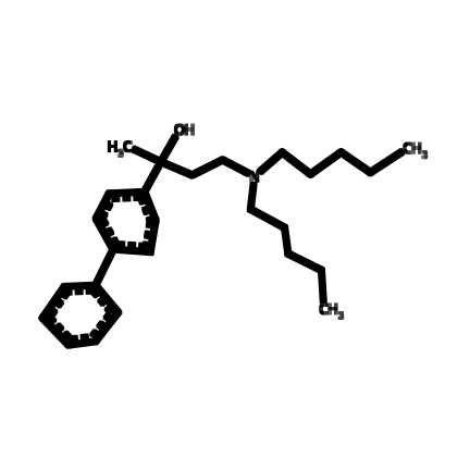 CCCCCN(CCCCC)CCC(C)(O)c1ccc(-c2ccccc2)cc1